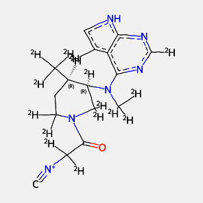 [2H]c1nc(N(C([2H])([2H])[2H])[C@@]2([2H])C([2H])([2H])N(C(=O)C([2H])([2H])[N+]#[C-])C([2H])([2H])C[C@@]2([2H])C([2H])([2H])[2H])c2c([2H])c[nH]c2n1